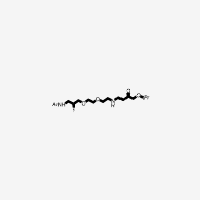 CC(=O)NCC(F)COCCOCCNCCC(=O)COC(C)C